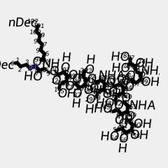 CCCCCCCCCCCCC/C=C/[C@@H](O)[C@H](CO[C@@H]1OC(CO)[C@@H](O[C@@H]2OC(CO)[C@H](O[C@@H]3OC(CO)[C@H](O)[C@H](O[C@@H]4OC(CO)[C@H](O[C@@H]5OC(CO)[C@H](O)[C@H](O[C@@H]6OC(CO)[C@H](O)[C@H](O)C6O)C5NC(C)=O)[C@H](O[C@]5(C(=O)O)CC(O)[C@@H](NC(C)=O)C([C@H](O)[C@H](O)CO)O5)C4O)C3NC(C)=O)[C@H](O)C2O)[C@H](O)C1O)NC(=O)CCCCCCCCCCCCCCCCC